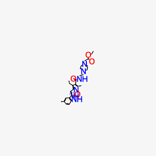 CCOC(=O)CN1CCN(CCNC(=O)c2c(C)[nH]c(/C=C3\C(=O)Nc4ccc(C)cc43)c2CC)CC1